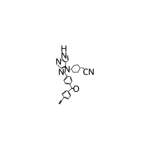 C#Cc1ccc(C(=O)c2ccc(-c3nc4cnc5[nH]ccc5c4n3[C@H]3CC[C@H](CC#N)CC3)cc2)cc1